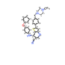 CN1CCN(Cc2ccc(-c3cc4ncc(C#N)c(Nc5ccc(Oc6ccccc6)cc5)c4s3)cc2)CC1